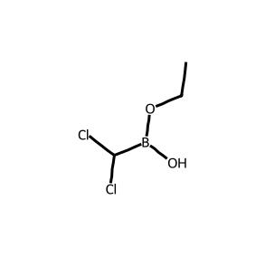 CCOB(O)C(Cl)Cl